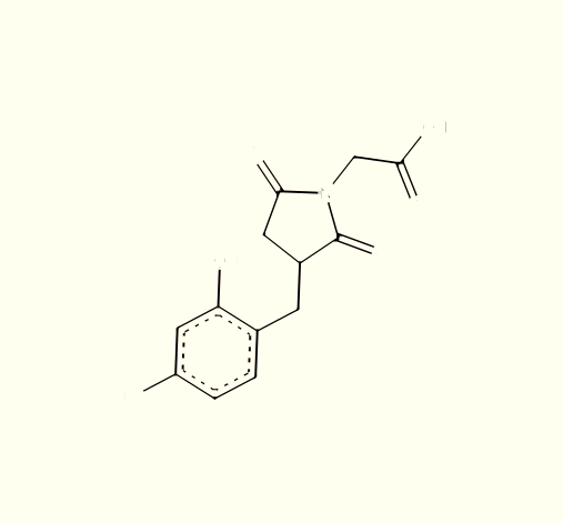 O=C(O)CN1C(=O)CC(Cc2ccc(O)cc2O)C1=O